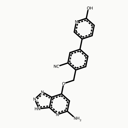 N#Cc1cc(-c2ccc(O)nc2)ccc1COc1cc(N)nc2[nH]nnc12